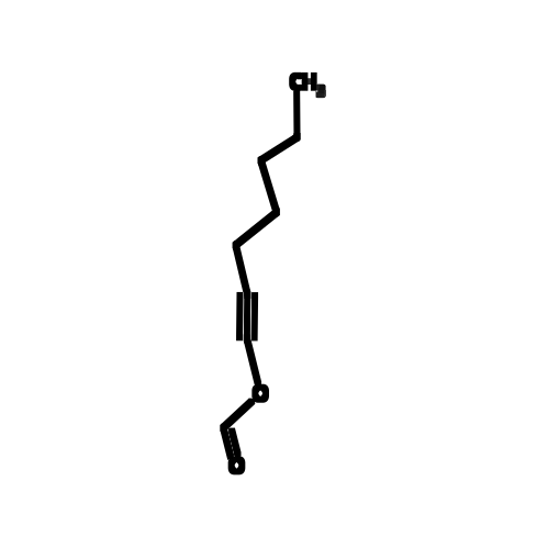 CCCCCC#COC=O